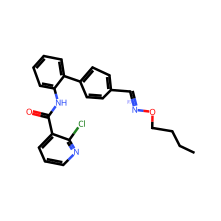 CCCCO/N=C/c1ccc(-c2ccccc2NC(=O)c2cccnc2Cl)cc1